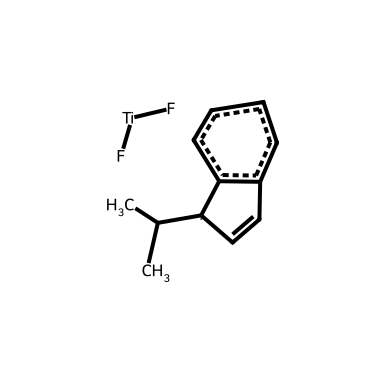 CC(C)[C]1C=Cc2ccccc21.[F][Ti][F]